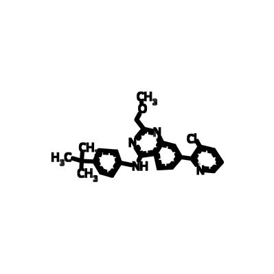 COCc1nc(Nc2ccc(C(C)(C)C)cc2)c2ccc(-c3ncccc3Cl)cc2n1